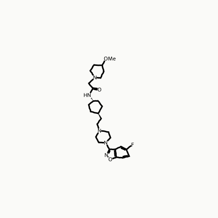 COC1CCN(CC(=O)N[C@H]2CC[C@H](CCN3CCN(c4noc5ccc(F)cc45)CC3)CC2)CC1